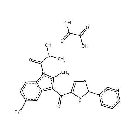 Cc1ccc2c(c1)c(C(=O)C1=CSC(c3cccnc3)N1)c(C)n2C(=O)N(C)C.O=C(O)C(=O)O